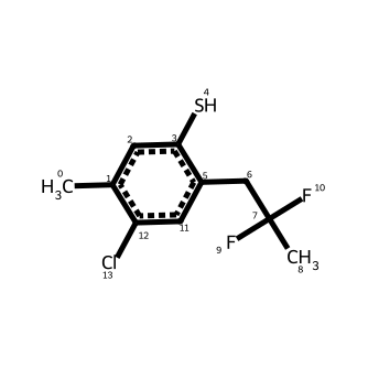 Cc1cc(S)c(CC(C)(F)F)cc1Cl